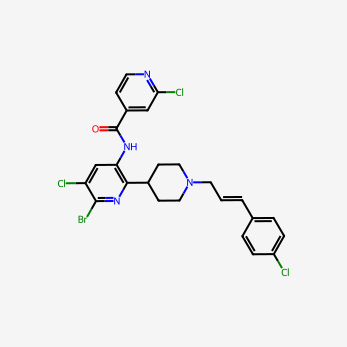 O=C(Nc1cc(Cl)c(Br)nc1C1CCN(CC=Cc2ccc(Cl)cc2)CC1)c1ccnc(Cl)c1